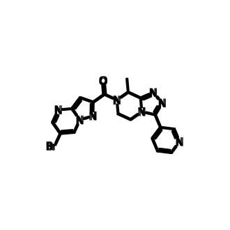 CC1c2nnc(-c3cccnc3)n2CCN1C(=O)c1cc2ncc(Br)cn2n1